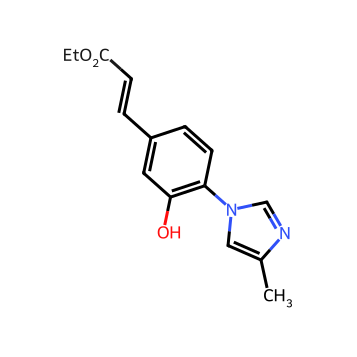 CCOC(=O)/C=C/c1ccc(-n2cnc(C)c2)c(O)c1